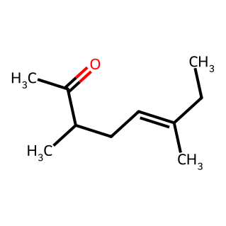 CCC(C)=CCC(C)C(C)=O